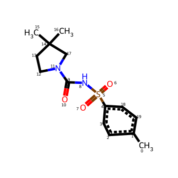 Cc1ccc(S(=O)(=O)NC(=O)N2CCC(C)(C)C2)cc1